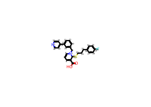 O=C(O)C1=CC=CN(Cc2cccc(-c3ccncc3)c2)C1SCCCc1ccc(F)cc1